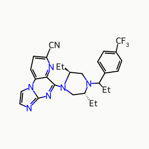 CCC(c1ccc(C(F)(F)F)cc1)N1C[C@H](CC)N(c2nc3nccn3c3ccc(C#N)nc23)C[C@H]1CC